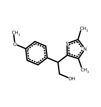 COc1ccc(C(CO)c2sc(C)nc2C)cc1